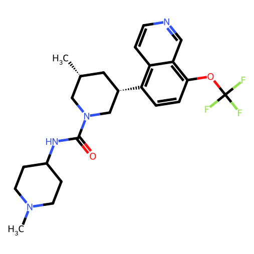 C[C@@H]1C[C@H](c2ccc(OC(F)(F)F)c3cnccc23)CN(C(=O)NC2CCN(C)CC2)C1